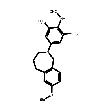 CCC(C)Oc1ccc2c(c1)CCCN(c1cc(C)c(NC=O)c(C)c1)C2